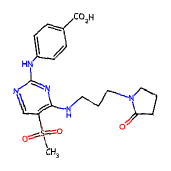 CS(=O)(=O)c1cnc(Nc2ccc(C(=O)O)cc2)nc1NCCCN1CCCC1=O